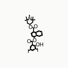 CN1C(C)(C)CC(OC(=O)c2ccc(OC(=O)c3cc(I)cc(I)c3O)c3ccccc23)CC1(C)C